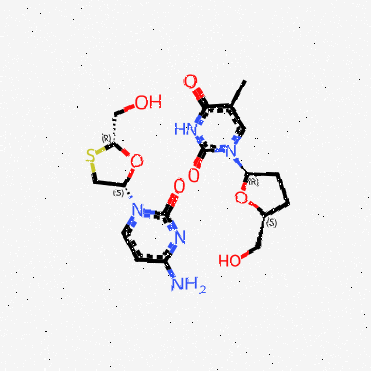 Cc1cn([C@H]2CC[C@@H](CO)O2)c(=O)[nH]c1=O.Nc1ccn([C@@H]2CS[C@H](CO)O2)c(=O)n1